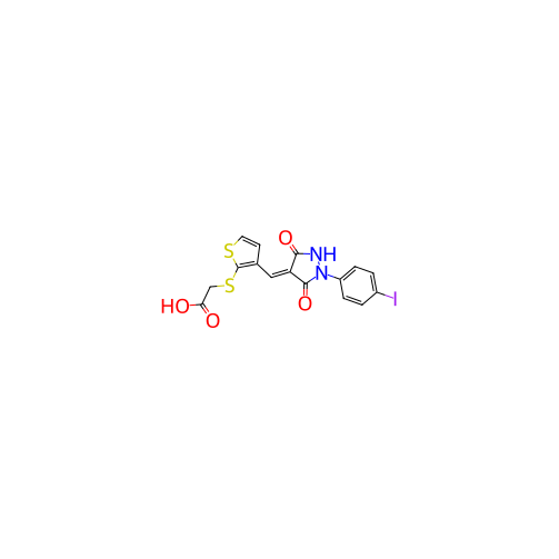 O=C(O)CSc1sccc1/C=C1\C(=O)NN(c2ccc(I)cc2)C1=O